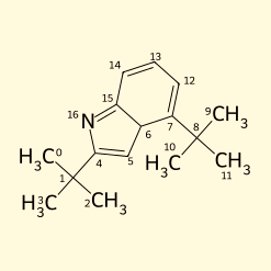 CC(C)(C)C1=CC2C(C(C)(C)C)=CC=CC2=N1